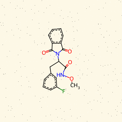 CONC(=O)C(Cc1cccc(F)c1)N1C(=O)c2ccccc2C1=O